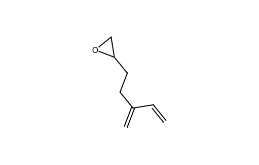 C=CC(=C)CCC1CO1